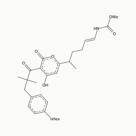 CCCCCCc1ccc(CC(C)(C)C(=O)c2c(O)cc(C(C)CC/C=C/NC(=O)OC)oc2=O)cc1